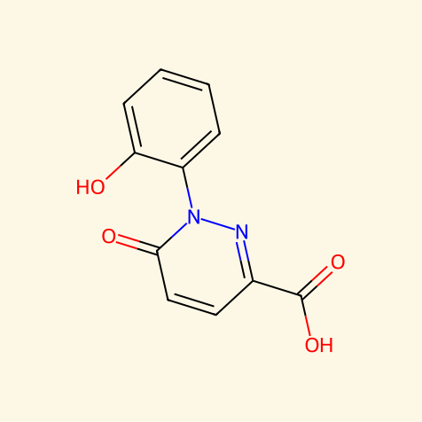 O=C(O)c1ccc(=O)n(-c2ccccc2O)n1